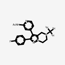 [2H]C([2H])([2H])N1CCn2nc(-c3ccc(F)cc3)c(-c3ccnc(NC(C)=O)c3)c2C1